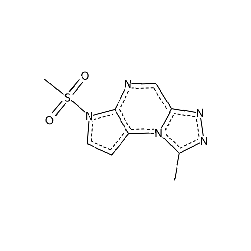 Cc1nnc2cnc3c(ccn3S(C)(=O)=O)n12